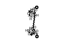 CN[C@@H](C)C(=O)N[C@H](C(=O)N1C[C@@H](NC(=O)CCCCCCCCC(=O)N[C@H]2C[C@@H](C(=O)N[C@H](C)c3ccccc3)N(C(=O)[C@@H](NC(=O)[C@H](C)NC)C(C)(C)C)C2)C[C@H]1C(=O)N[C@H](C)c1ccccc1)C(C)(C)C